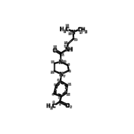 CC(=O)c1ccc(N2CCN(C(=O)NCCN(C)C)CC2)cc1